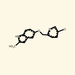 O=C(O)c1cc2cc(OCc3ccc(Cl)cn3)ccc2[nH]1